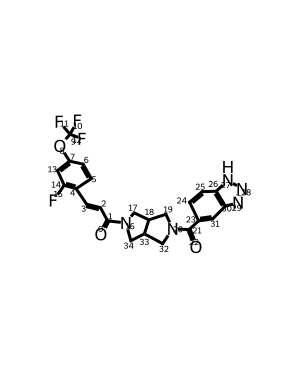 O=C(/C=C/c1ccc(OC(F)(F)F)cc1F)N1CC2CN(C(=O)c3ccc4[nH]nnc4c3)CC2C1